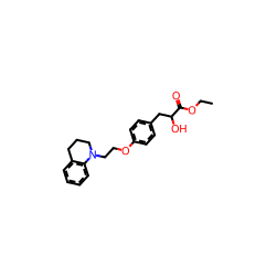 CCOC(=O)C(O)Cc1ccc(OCCN2CCCc3ccccc32)cc1